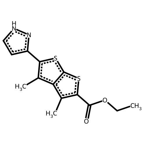 CCOC(=O)c1sc2sc(-c3cc[nH]n3)c(C)c2c1C